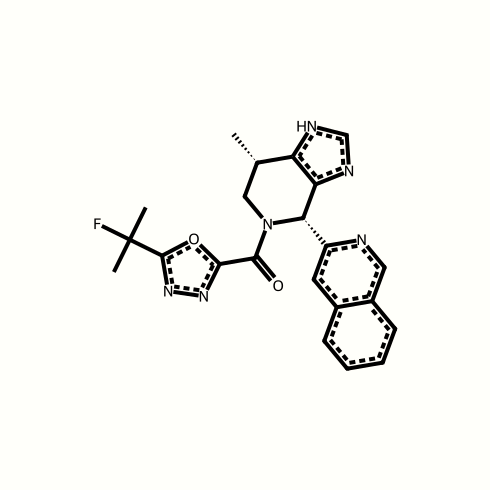 C[C@H]1CN(C(=O)c2nnc(C(C)(C)F)o2)[C@@H](c2cc3ccccc3cn2)c2nc[nH]c21